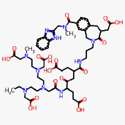 CCN(CCN(CCN(CCN(C)CC(=O)O)CC(=O)O)CC(=O)NC(CCC(=O)O)C(=O)CC(CCC(=O)O)C(=O)NCCCN1Cc2cc(C(=O)N(C)Cc3nc4ccccc4[nH]3)ccc2CC(CC(=O)O)C1=O)CC(=O)O